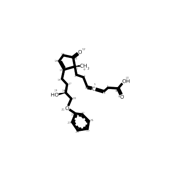 C[C@]1(CCC=C=CCC(=O)O)C(=O)CC=C1CC[C@H](O)COc1ccccc1